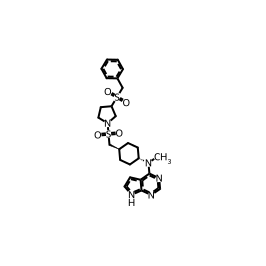 CN(c1ncnc2[nH]ccc12)[C@H]1CC[C@H](CS(=O)(=O)N2CCC(S(=O)(=O)Cc3ccccc3)C2)CC1